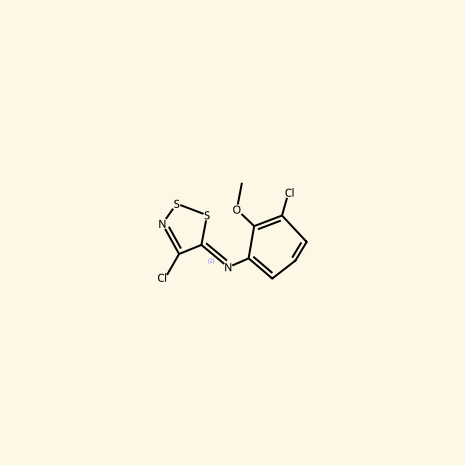 COc1c(Cl)cccc1/N=c1\ssnc1Cl